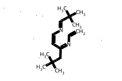 C=C\N=C(/C=C\N=C\C(C)(C)C)CC(C)(C)C